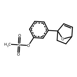 CS(=O)(=O)Oc1cccc(C23C=CC(CC2)O3)c1